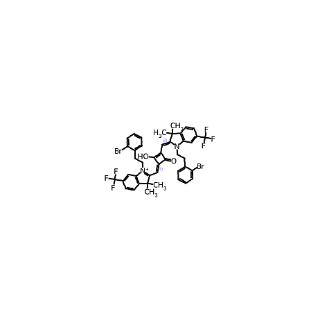 CC1(C)C(/C=C2/C(=O)C(/C=C3\N(CCc4ccccc4Br)c4cc(C(F)(F)F)ccc4C3(C)C)=C2O)=[N+](CCc2ccccc2Br)c2cc(C(F)(F)F)ccc21